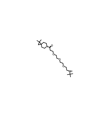 CC(C)(C)NCCOCCOCCOCCC(=O)N1CCC2(CC1)CC2(C)C